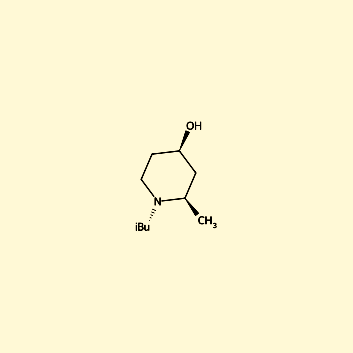 CC[C@@H](C)N1CC[C@@H](O)C[C@H]1C